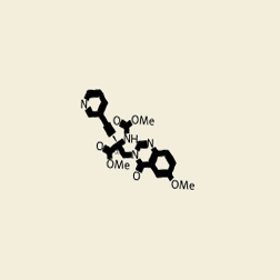 COC(=O)N[C@@](C#Cc1cccnc1)(Cn1cnc2ccc(OC)cc2c1=O)C(=O)OC